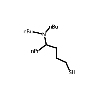 CCCCN(CCCC)C(CCC)CCCS